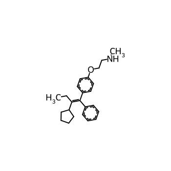 CCC(=C(c1ccccc1)c1ccc(OCCNC)cc1)C1CCCC1